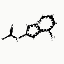 CC(=O)Oc1cc2c(Cl)cccn2c1